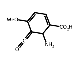 COC1=CC=C(C(=O)O)C(N)C1=C=O